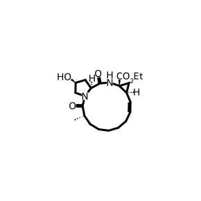 CCOC(=O)[C@@]12C[C@H]1/C=C\CCCCC[C@H](C)C(=O)N1C[C@@H](O)C[C@H]1C(=O)N2